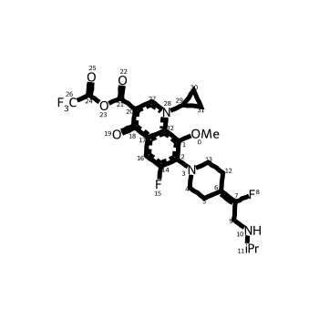 COc1c(N2CCC(=C(F)CNC(C)C)CC2)c(F)cc2c(=O)c(C(=O)OC(=O)C(F)(F)F)cn(C3CC3)c12